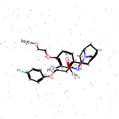 COCCOc1ccc(CN2C3CCC2CC(NC(=O)CCOc2ccc(F)cc2)C3)c(C)c1C